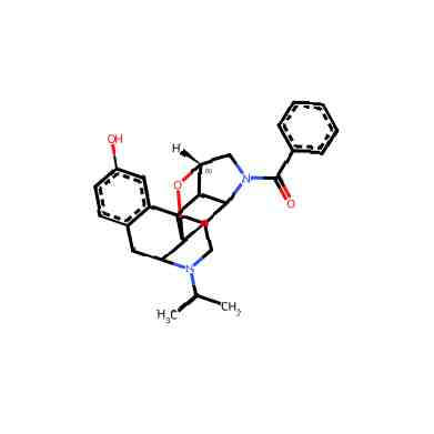 CC(C)N1CCC23c4cc(O)ccc4CC1C21CCC2C3[C@@H](CN2C(=O)c2ccccc2)O1